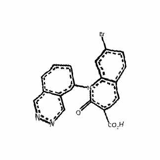 O=C(O)c1cc2ccc(Br)cc2n(-c2cccc3cnncc23)c1=O